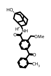 COCc1cc(C(=O)c2ccccc2C)ccc1C(=O)N[C@H]1C2CC3CC1C[C@](O)(C3)C2